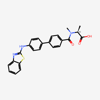 C[C@@H](C(=O)O)N(C)C(=O)c1ccc(-c2ccc(Nc3nc4ccccc4s3)cc2)cc1